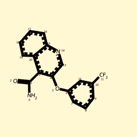 NC(=O)c1c(Oc2cccc(C(F)(F)F)c2)cnc2ccccc12